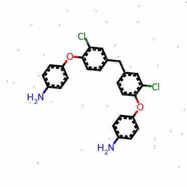 Nc1ccc(Oc2ccc(Cc3ccc(Oc4ccc(N)cc4)c(Cl)c3)cc2Cl)cc1